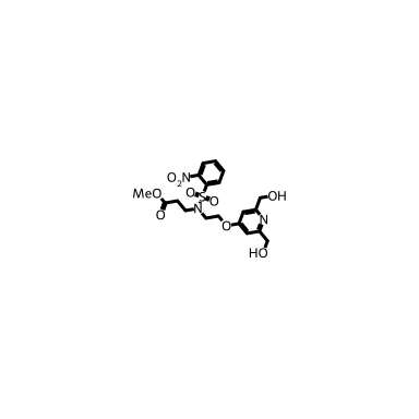 COC(=O)CCN(CCOc1cc(CO)nc(CO)c1)S(=O)(=O)c1ccccc1[N+](=O)[O-]